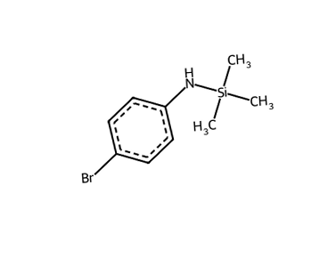 C[Si](C)(C)Nc1ccc(Br)cc1